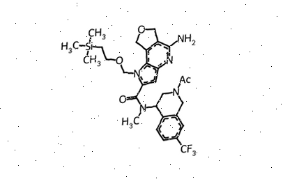 CC(=O)N1Cc2cc(C(F)(F)F)ccc2C(N(C)C(=O)c2cc3nc(N)c4c(c3n2COCC[Si](C)(C)C)COC4)C1